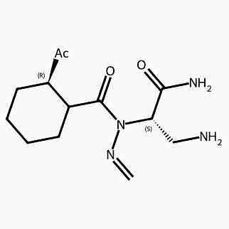 C=NN(C(=O)C1CCCC[C@H]1C(C)=O)[C@@H](CN)C(N)=O